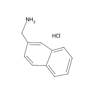 Cl.NCc1ccc2ccccc2c1